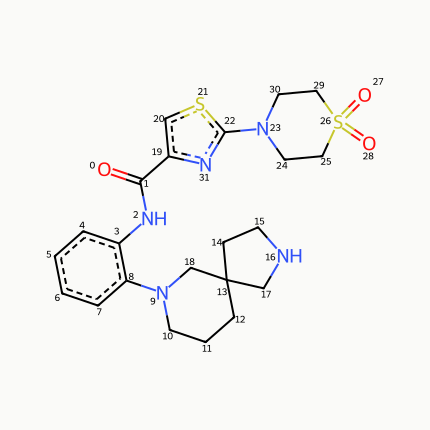 O=C(Nc1ccccc1N1CCCC2(CCNC2)C1)c1csc(N2CCS(=O)(=O)CC2)n1